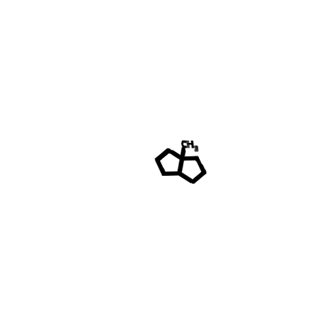 CC12CCCC1CCC2